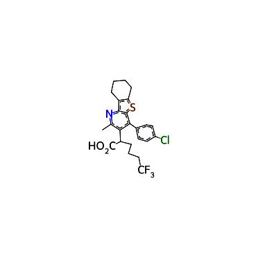 Cc1nc2c3c(sc2c(-c2ccc(Cl)cc2)c1C(CCCC(F)(F)F)C(=O)O)CCCC3